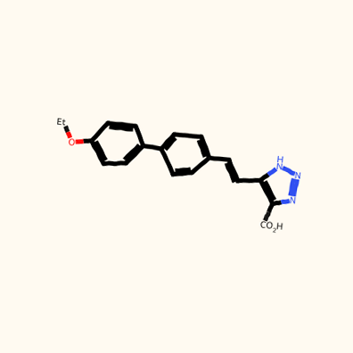 CCOc1ccc(-c2ccc(C=Cc3[nH]nnc3C(=O)O)cc2)cc1